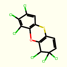 Clc1cc2c(c(Cl)c1Cl)OC1=C(C=CC(Cl)(Cl)C1Cl)S2